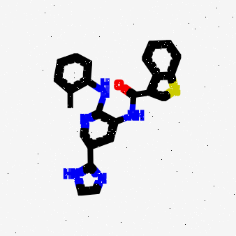 Cc1ccccc1Nc1ncc(-c2ncc[nH]2)cc1NC(=O)c1csc2ccccc12